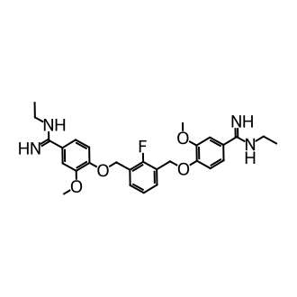 CCNC(=N)c1ccc(OCc2cccc(COc3ccc(C(=N)NCC)cc3OC)c2F)c(OC)c1